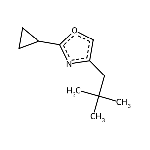 CC(C)(C)Cc1coc(C2CC2)n1